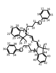 CC1(C)C(=CC=CC2=[N+](CCCOc3ccccc3)c3ccccc3C2(C)C)N(CCCOc2ccccc2)c2ccccc21